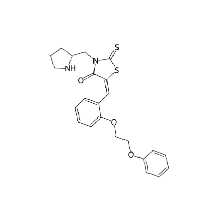 O=C1/C(=C\c2ccccc2OCCOc2ccccc2)SC(=S)N1CC1CCCN1